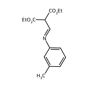 CCOC(=O)C(/C=N/c1cccc(C)c1)C(=O)OCC